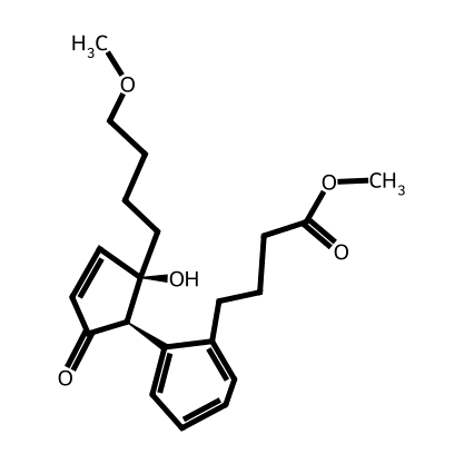 COCCCC[C@@]1(O)C=CC(=O)[C@@H]1c1ccccc1CCCC(=O)OC